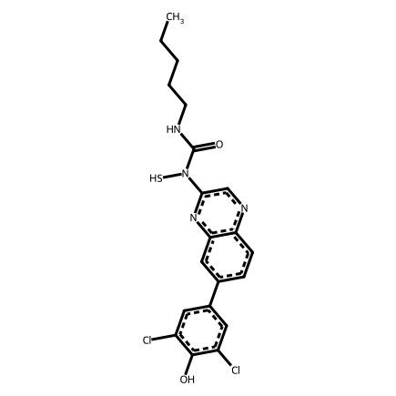 CCCCCNC(=O)N(S)c1cnc2ccc(-c3cc(Cl)c(O)c(Cl)c3)cc2n1